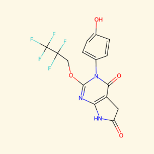 O=C1Cc2c(nc(OCC(F)(F)C(F)(F)F)n(-c3ccc(O)cc3)c2=O)N1